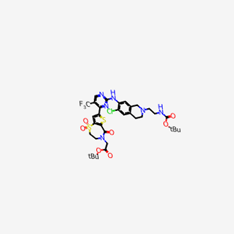 CC(C)(C)OC(=O)CN1CCS(=O)(=O)c2cc(-c3nc(Nc4cc5c(cc4Cl)CCN(CCNC(=O)OC(C)(C)C)C5)ncc3C(F)(F)F)sc2C1=O